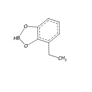 CCc1cccc2c1OBO2